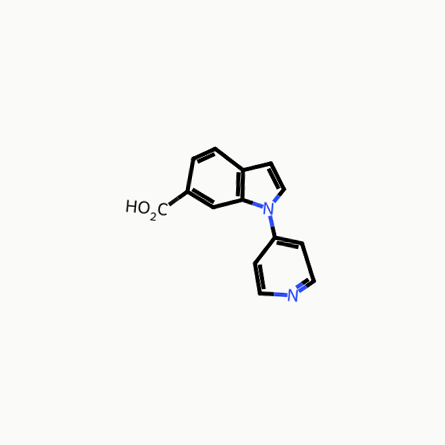 O=C(O)c1ccc2ccn(-c3ccncc3)c2c1